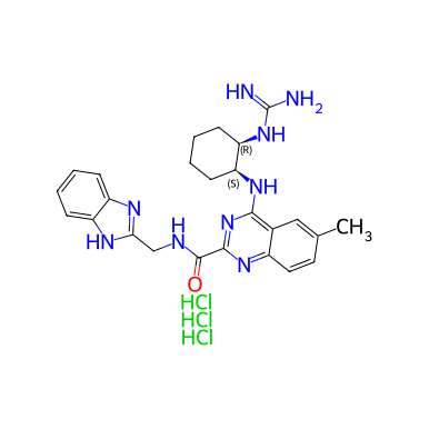 Cc1ccc2nc(C(=O)NCc3nc4ccccc4[nH]3)nc(N[C@H]3CCCC[C@H]3NC(=N)N)c2c1.Cl.Cl.Cl